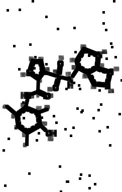 Cc1cc(C)c(NC(=O)c2sccc2S(=O)(=O)Nc2ccnc3sncc23)c(C)c1O